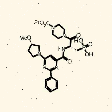 CCOC(=O)N1CCN(C(=O)[C@H](CP(=O)(O)O)NC(=O)c2cc(N3CC[C@H](OC)C3)nc(-c3ccccc3)n2)CC1